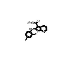 CNC(=O)c1c(Nc2ccc(I)cc2F)sc2ncccc12